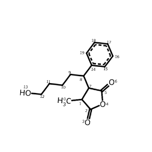 CC1C(=O)OC(=O)C1C(CCCCO)c1ccccc1